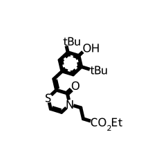 CCOC(=O)CCN1C=CSC(=Cc2cc(C(C)(C)C)c(O)c(C(C)(C)C)c2)C1=O